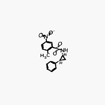 Cc1ccc([N+](=O)[O-])cc1S(=O)(=O)N[C@@H]1C[C@H]1c1ccccc1